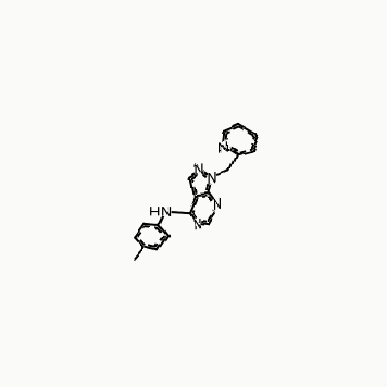 Cc1ccc(Nc2ncnc3c2cnn3Cc2ccccn2)cc1